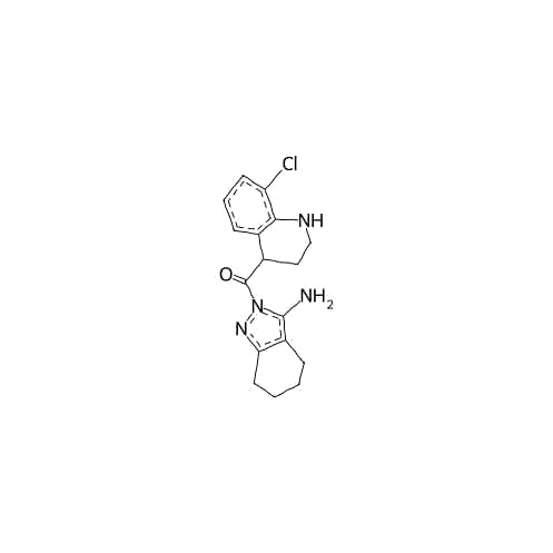 Nc1c2c(nn1C(=O)C1CCNc3c(Cl)cccc31)CCCC2